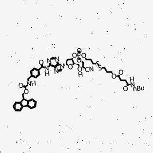 CCCCNC(=O)CCC(=O)OCCCSSCCCOP(=O)(OCCC#N)OC1C[C@H](n2cnc3c(NC(=O)c4ccc(CNC(=O)OCC5c6ccccc6-c6ccccc65)cc4)ncnc32)O[C@@H]1CO